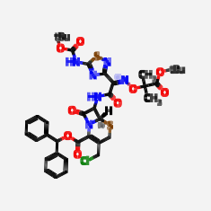 CC(C)(C)OC(=O)Nc1nc(/C(=N/OC(C)(C)C(=O)OC(C)(C)C)C(=O)NC2C(=O)N3C(C(=O)OC(c4ccccc4)c4ccccc4)=C(CCl)CS[C@@H]23)ns1